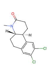 CN1C(=O)CC[C@H]2c3cc(Cl)c(Cl)cc3CC[C@@H]21